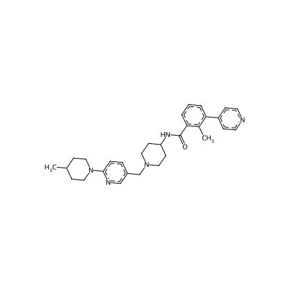 Cc1c(C(=O)NC2CCN(Cc3ccc(N4CCC(C)CC4)nc3)CC2)cccc1-c1ccncc1